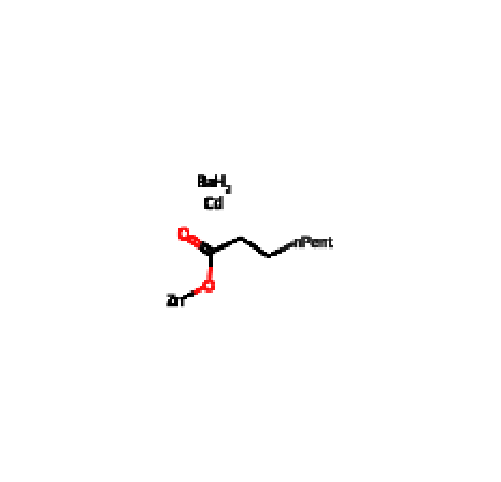 CCCCCCCC(=O)[O][Zn].[BaH2].[Cd]